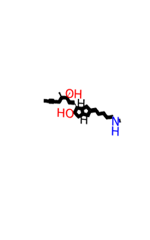 CC#CC[C@@H](C)[C@H](O)/C=C/[C@@H]1[C@H]2C/C(=C/CCCCNC)C[C@H]2C[C@H]1O